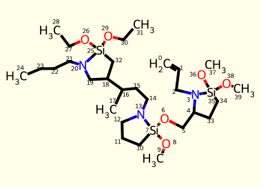 C=CCN1C(CO[Si]2(OC)CCCN2CCC(C)C2CN(CCCC)[Si](OCC)(OCC)C2)CC[Si]1(OC)OC